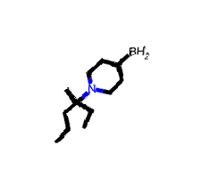 BC1CCN(C(C)(CC)CCC)CC1